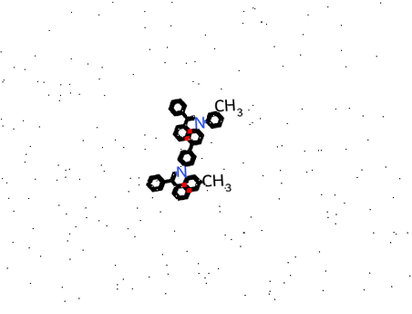 Cc1cccc(N(C=C(c2ccccc2)c2ccccc2)c2ccc(-c3ccc(N(C=C(c4ccccc4)c4ccccc4)c4cccc(C)c4)cc3)cc2)c1